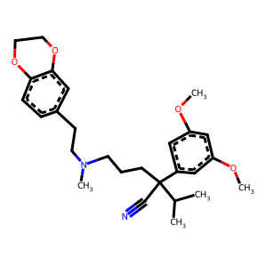 COc1cc(OC)cc(C(C#N)(CCCN(C)CCc2ccc3c(c2)OCCO3)C(C)C)c1